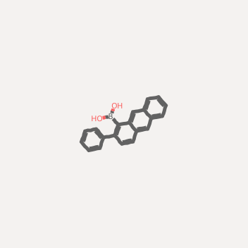 OB(O)c1c(-c2ccccc2)ccc2cc3ccccc3cc12